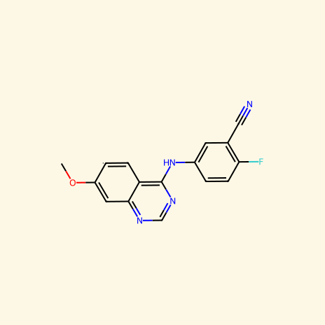 COc1[c]cc2c(Nc3ccc(F)c(C#N)c3)ncnc2c1